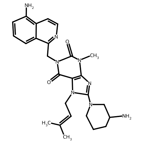 CC(C)=CCn1c(N2CCCC(N)C2)nc2c1c(=O)n(Cc1nccc3c(N)cccc13)c(=O)n2C